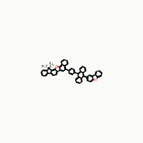 CC1(C)c2ccccc2-c2ccc3c(oc4c5ccccc5c(-c5ccc(-c6c7ccccc7c(-c7ccc8oc9ccccc9c8c7)c7ccccc67)cc5)cc34)c21